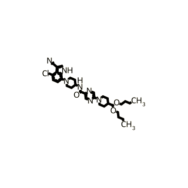 CCCCOC(OCCCC)C1CCN(c2cnc(C(=O)NC3CCN(c4ccc(Cl)c5c(C#N)c[nH]c45)CC3)cn2)CC1